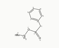 CCCC[SiH2]OC(=O)Cc1ccccc1